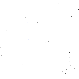 CC(C)N=C=NC(c1ccccc1)C(C)C